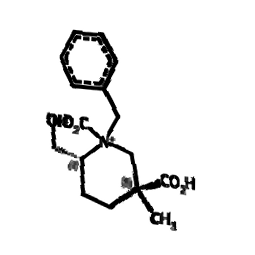 C[C@]1(C(=O)O)CC[C@H](CO)[N+](Cc2ccccc2)(C(=O)O)C1